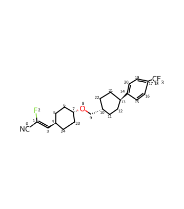 N#CC(F)=C[C@H]1CC[C@H](OC[C@H]2CC[C@H](c3ccc(C(F)(F)F)cc3)CC2)CC1